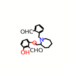 O=Cc1ccccc1CN1CCCCCC1COc1cccc(O)c1C=O